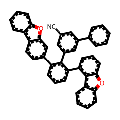 N#Cc1cc(-c2ccccc2)cc(-c2c(-c3ccc4c(c3)oc3ccccc34)cccc2-c2cccc3oc4ccccc4c23)c1